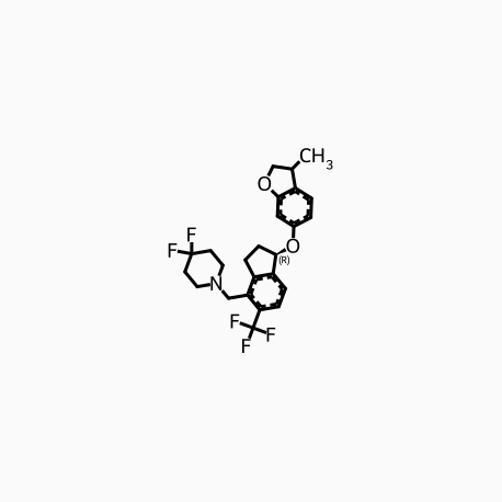 CC1COc2cc(O[C@@H]3CCc4c3ccc(C(F)(F)F)c4CN3CCC(F)(F)CC3)ccc21